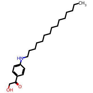 CCCCCCCCCCCCCCCNc1ccc(C(=O)CO)cc1